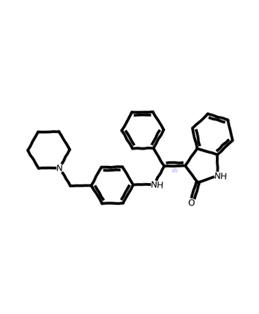 O=C1Nc2ccccc2/C1=C(/Nc1ccc(CN2CCCCC2)cc1)c1ccccc1